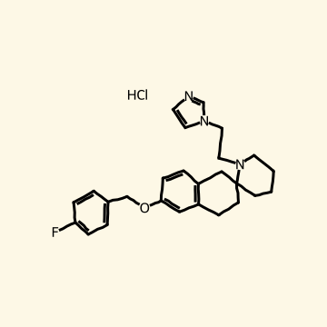 Cl.Fc1ccc(COc2ccc3c(c2)CCC2(CCCCN2CCn2ccnc2)C3)cc1